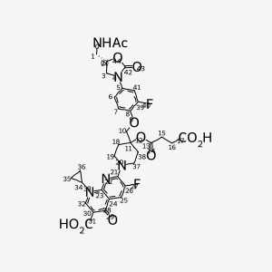 CC(=O)NC[C@H]1CN(c2ccc(OCC3(OC(=O)CCC(=O)O)CCN(c4nc5c(cc4F)c(=O)c(C(=O)O)cn5C4CC4)CC3)c(F)c2)C(=O)O1